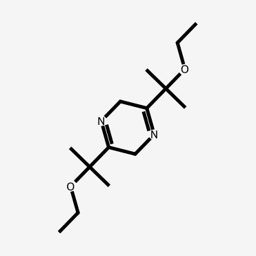 CCOC(C)(C)C1=NCC(C(C)(C)OCC)=NC1